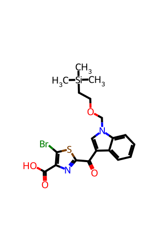 C[Si](C)(C)CCOCn1cc(C(=O)c2nc(C(=O)O)c(Br)s2)c2ccccc21